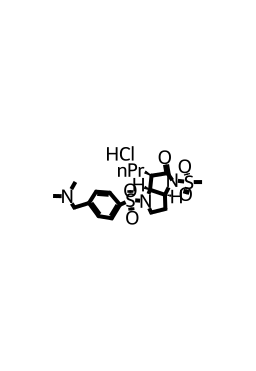 CCC[C@H]1C(=O)N(S(C)(=O)=O)[C@H]2CCN(S(=O)(=O)c3ccc(CN(C)C)cc3)[C@H]12.Cl